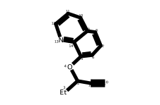 C#CC(CC)Oc1cccc2cccnc12